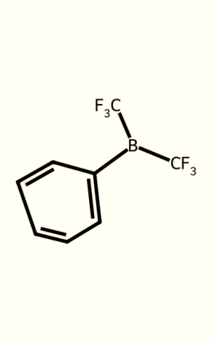 FC(F)(F)B(c1ccccc1)C(F)(F)F